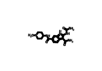 CN1CCC(NC(=O)c2ccc3c(C(N)=O)c(NC(N)=O)[nH]c3c2)CC1